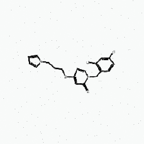 O=c1cc(OCCCn2cccc2)ccn1Cc1ccc(Cl)cc1Cl